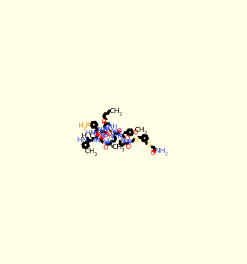 CCC/C=C\COC1CN[C@@H](C(=O)NCC(=O)N[C@@H](Cc2ccc(OC)cc2)C(=O)N2CCCC2C(=O)NCCSCc2cccc(CSCCC(N)=O)c2)N(C(=O)[C@@H](NC(=O)[C@H](CCc2c[nH]c3ccc(C)cc23)NC(=O)CNC(=O)[C@@H](CC)CCCCN)N/C(=C/NC)c2cccc(P)c2)C1